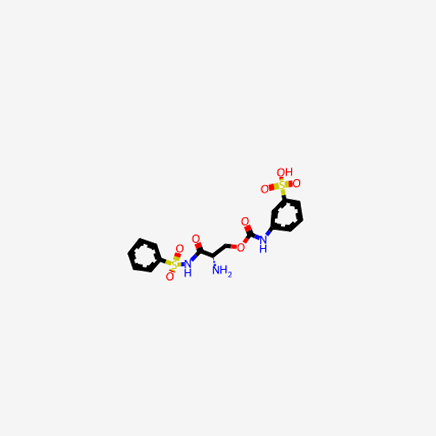 N[C@@H](COC(=O)Nc1cccc(S(=O)(=O)O)c1)C(=O)NS(=O)(=O)c1ccccc1